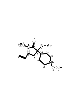 C=CCCC(NC(C)=O)(C(=O)NC(C)(C)C)C1CCN(C(=O)O)CC1